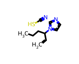 C=CC(CCC)n1ccnc1.N#CS